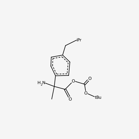 CC(C)Cc1ccc(C(C)(N)C(=O)OC(=O)OC(C)(C)C)cc1